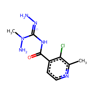 Cc1nccc(C(=O)N/C(=N/N)N(C)N)c1Cl